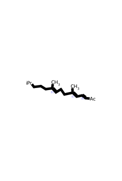 CC(=O)/C=C/C=C(\C)CC/C=C(\C)CCCC(C)C